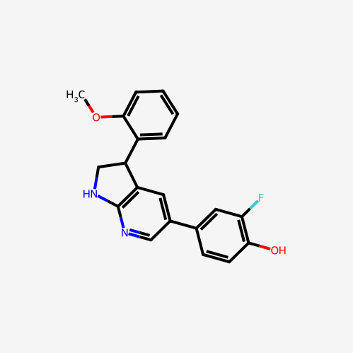 COc1ccccc1C1CNc2ncc(-c3ccc(O)c(F)c3)cc21